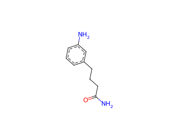 NC(=O)CCCc1cccc(N)c1